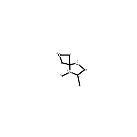 CC1COC2(COC2)N1C